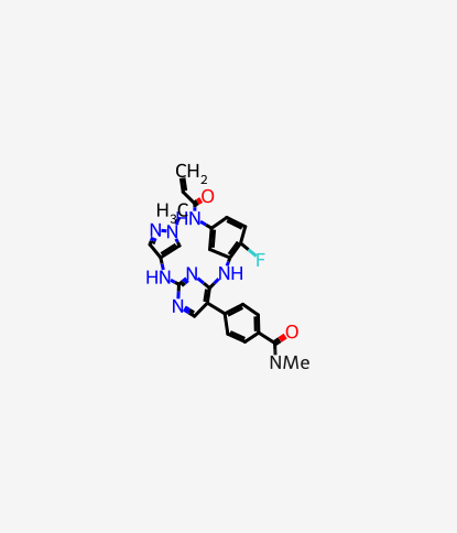 C=CC(=O)Nc1ccc(F)c(Nc2nc(Nc3cnn(C)c3)ncc2-c2ccc(C(=O)NC)cc2)c1